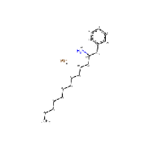 Br.CCCCCCCCCCCC(N)Cc1ccccc1